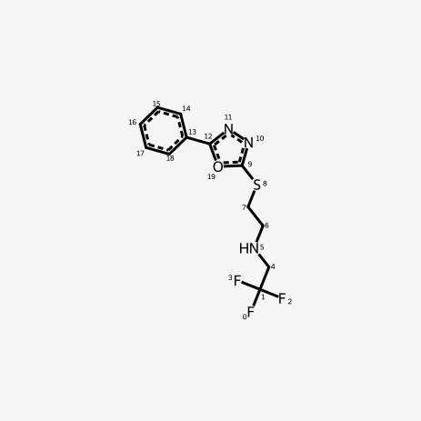 FC(F)(F)CNCCSc1nnc(-c2ccccc2)o1